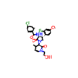 COc1ccc([C@@H]2CN(c3c(C)ccn(CCO)c3=O)C(=O)[C@H]2NC(=O)c2ccc(Cl)cc2)c(F)c1